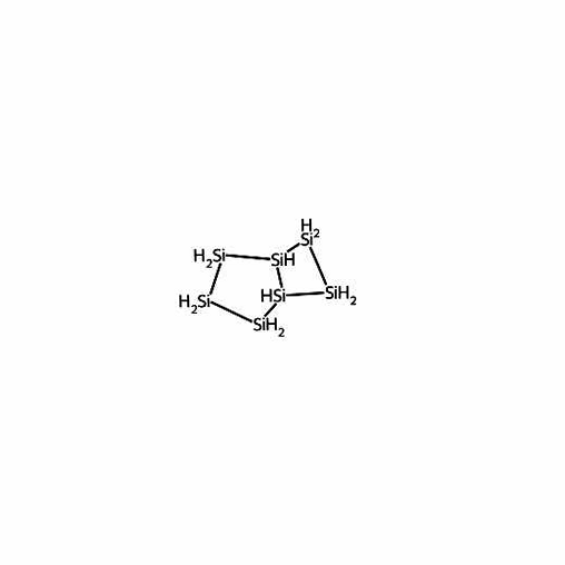 [SiH2]1[SiH2][SiH]2[SiH2][SiH2][SiH]2[SiH2]1